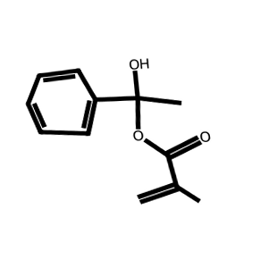 C=C(C)C(=O)OC(C)(O)c1ccccc1